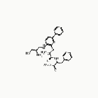 COC(=O)C(Cc1ccccc1)NC(=O)[C@H](C)Oc1nc(-c2ccccc2)ccc1NCC(N)CS